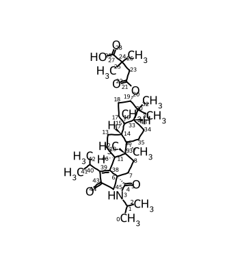 CC(C)NC(=O)[C@@]12CC[C@]3(C)[C@H](CC[C@@H]4[C@@]5(C)CC[C@H](OC(=O)CC(C)(C)C(=O)O)C(C)(C)[C@@H]5CC[C@]43C)C1=C(C(C)C)C(=O)C2